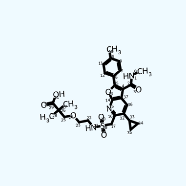 CNC(=O)c1c(-c2ccc(C)cc2)oc2nc(CS(=O)(=O)NCCOCC(C)(C)C(=O)O)c(C3CC3)cc12